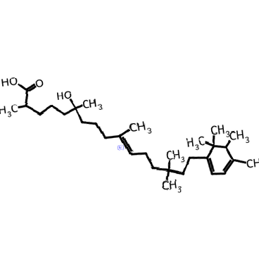 CC1=CC=C(CCC(C)(C)CC/C=C(\C)CCCC(C)(O)CCCC(C)C(=O)O)C(C)(C)C1C